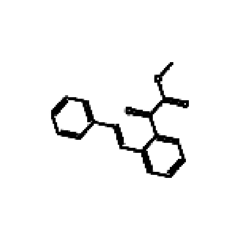 COC(=O)C(=O)c1ccccc1/C=C/c1ccccc1